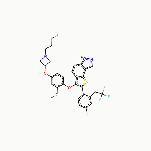 COc1cc(OC2CN(CCCF)C2)ccc1Oc1c(-c2ccc(F)cc2CC(F)(F)F)sc2c1ccc1[nH]ncc12